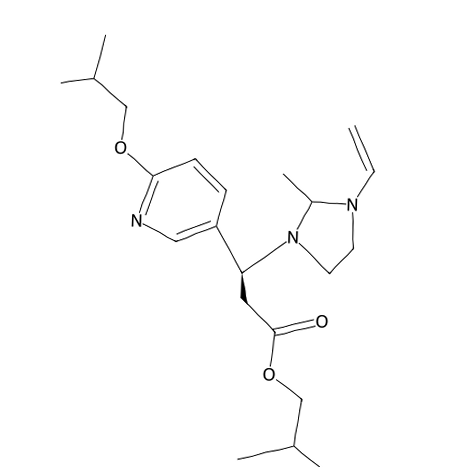 C=CN1CCN([C@@H](CC(=O)OCC(C)C)c2ccc(OCC(C)C)nc2)C1C